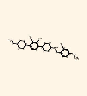 CCC1CCC(c2ccc(C3CCC(OCc4ccc(OC)cc4F)CC3)c(F)c2F)CC1